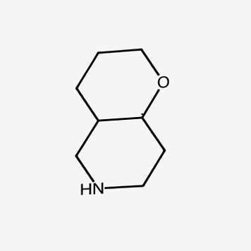 C1CO[C]2CCNCC2C1